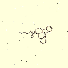 CCCCNC(=O)N1CCc2c([nH]c3ccccc23)C1Cc1ccccc1